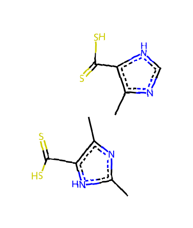 Cc1nc(C)c(C(=S)S)[nH]1.Cc1nc[nH]c1C(=S)S